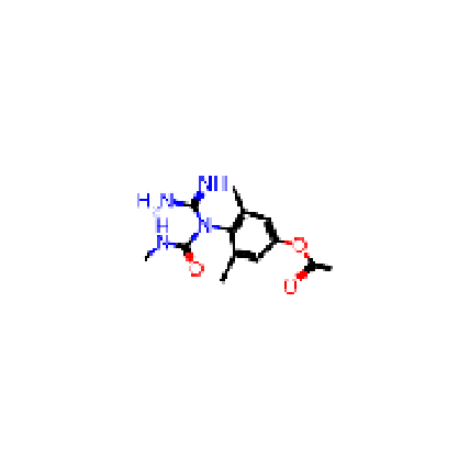 CNC(=O)N(C(=N)N)c1c(C)cc(OC(C)=O)cc1C